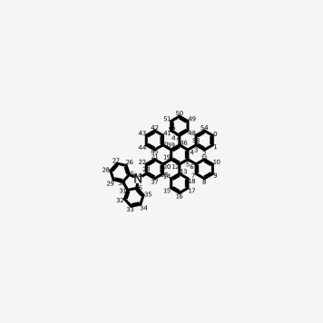 c1ccc(-c2c(-c3ccccc3)c(-c3ccccc3)c(-c3ccc(-n4c5ccccc5c5ccccc54)cc3)c(-c3ccccc3)c2-c2ccccc2)cc1